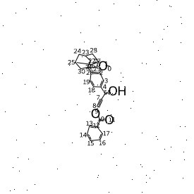 COc1cc(C(O)C#COC(=O)c2ccccc2)ccc1C12CC3CC(CC(C3)C1)C2